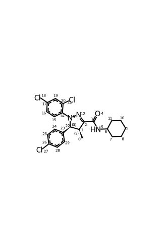 C[C@@H]1C(C(=O)NC2CCCCC2)=NN(c2ccc(Cl)cc2Cl)[C@@H]1c1ccc(Cl)cc1